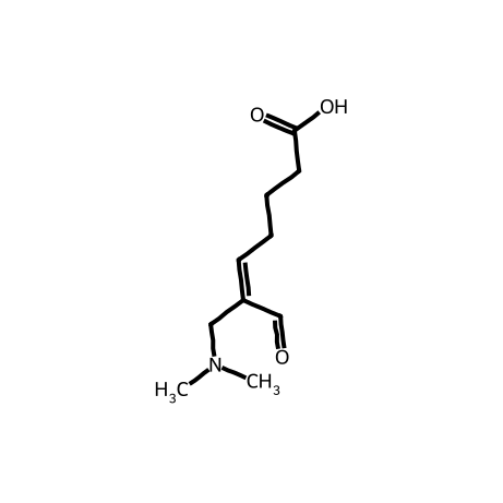 CN(C)C/C(C=O)=C/CCCC(=O)O